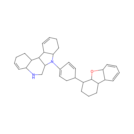 C1=CC2OC3C(C4C=CC(N5C6CCC=CC6C6C7CCC=CC7NCC65)=CC4)CCCC3C2C=C1